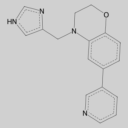 c1cncc(-c2ccc3c(c2)N(Cc2c[nH]cn2)CCO3)c1